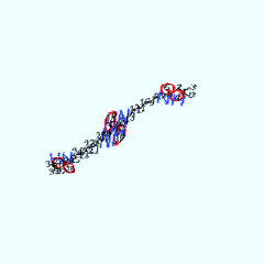 CC(C)(C)OC(=O)NCCCCCCNC(=O)C(=O)NCCCCCCNC(=O)OC(C)(C)C